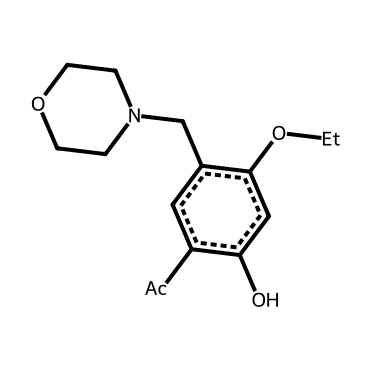 CCOc1cc(O)c(C(C)=O)cc1CN1CCOCC1